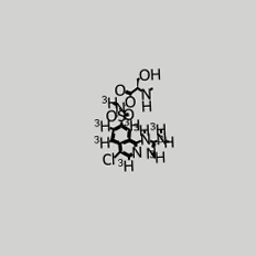 [3H]N=C(N([3H])[3H])N([3H])c1nc([3H])c(Cl)c2c([3H])c([3H])c(S(=O)(=O)N([3H])OC(=O)[C@@H](CO)NC)c([3H])c12